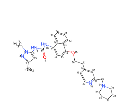 Cn1nc(C(C)(C)C)cc1NC(=O)Nc1ccc(OCCc2ccnc(CN3CCCCC3)c2)c2ccccc12